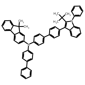 CC(C)(C)c1c(-c2ccc(-c3ccc(N(c4ccc(-c5ccccc5)cc4)c4ccc5c(c4)C(C)(C)c4ccccc4-5)cc3)cc2)c2ccccc2n1-c1ccccc1